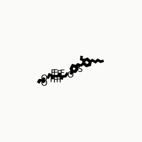 C=CC(=O)OCCC(F)(F)C(F)(F)C(F)(F)C(F)(F)CCOc1ccc2cc(-c3ccc(CCCCC)cc3CC)sc2c1